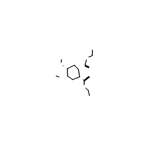 CCOC(=O)[C@H]1C[C@H](OC)[C@@H](OC)C[C@@H]1C(=O)OCC